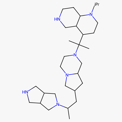 CC(CC1CC2CN(C(C)(C)C3CCN(C(C)C)C4CCNCC43)CCN2C1)N1CC2CNCC2C1